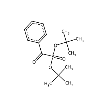 CC(C)(C)OP(=O)(OC(C)(C)C)C(=O)c1ccccc1